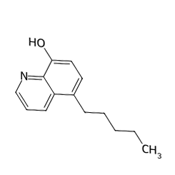 CCCCCc1ccc(O)c2ncccc12